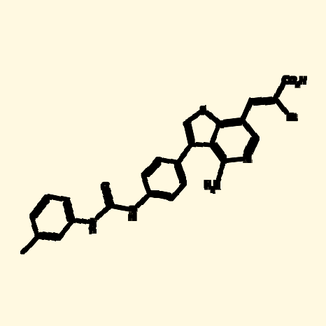 CC/C(=C\c1cnc(N)c2c(-c3ccc(NC(=O)Nc4cccc(C)c4)cc3)csc12)C(=O)O